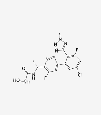 C[C@@H](NC(=O)NO)c1ncc(-c2cc(Cl)cc(F)c2-c2nnn(C)n2)cc1F